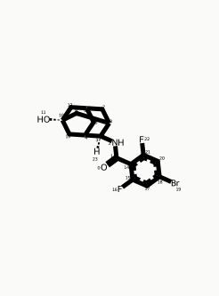 O=C(N[C@H]1C2CC3CC1C[C@](O)(C3)C2)c1c(F)cc(Br)cc1F